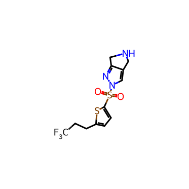 O=S(=O)(c1ccc(CCC(F)(F)F)s1)n1cc2c(n1)CNC2